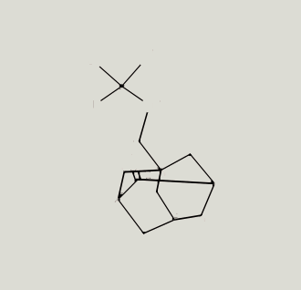 CC(C)(C)C(F)(F)OCC12CC3CC(C1)C(=O)C(C3)C2